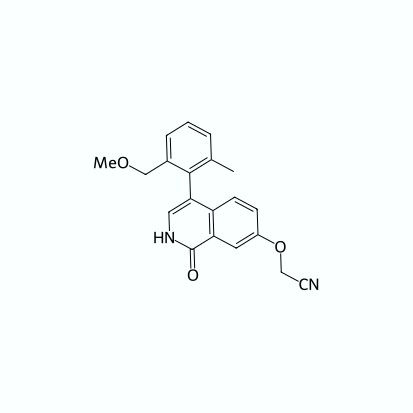 COCc1cccc(C)c1-c1c[nH]c(=O)c2cc(OCC#N)ccc12